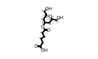 O=C(O)CCCCC(=O)OC(CCCO)CC(O)CO